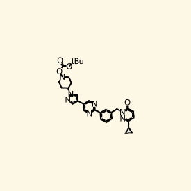 CC(C)(C)OC(=O)ON1CCC(n2cc(-c3cnc(-c4cccc(Cn5nc(C6CC6)ccc5=O)c4)nc3)cn2)CC1